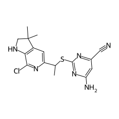 CC(Sc1nc(N)cc(C#N)n1)c1cc2c(c(Cl)n1)NCC2(C)C